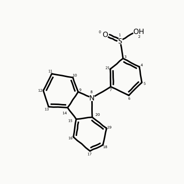 O=S(O)c1cccc(-n2c3ccccc3c3ccccc32)c1